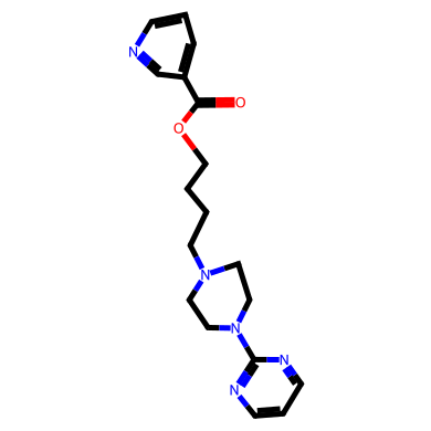 O=C(OCCCCN1CCN(c2ncccn2)CC1)c1cccnc1